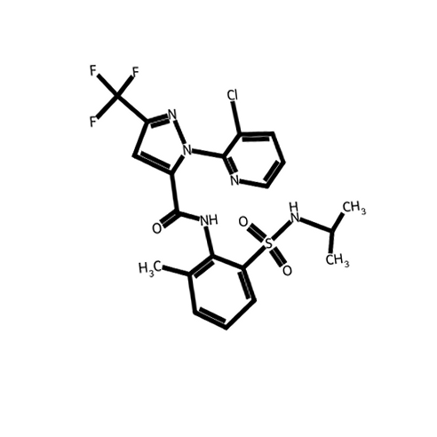 Cc1cccc(S(=O)(=O)NC(C)C)c1NC(=O)c1cc(C(F)(F)F)nn1-c1ncccc1Cl